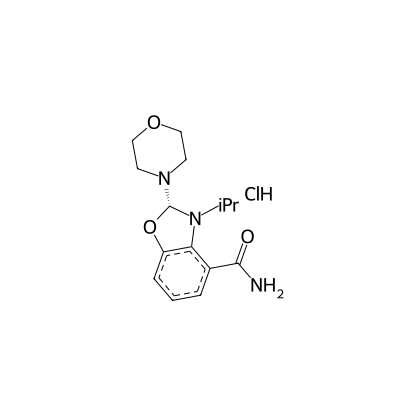 CC(C)N1c2c(cccc2C(N)=O)O[C@@H]1N1CCOCC1.Cl